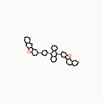 c1ccc2cc3c(cc2c1)oc1ccc(-c2ccc(-c4c5ccccc5c(-c5ccc6oc7c8ccccc8ccc7c6c5)c5ccccc45)cc2)cc13